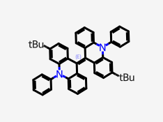 CC(C)(C)c1ccc2c(c1)N(c1ccccc1)c1ccccc1/C2=C1/c2ccccc2N(c2ccccc2)c2cc(C(C)(C)C)ccc21